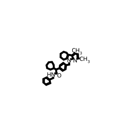 Cc1cc(C)c2c3c(n(Cc4ccc(C(C(=O)NCc5ccccc5)C5CCCCCC5)cc4)c2n1)CCCCC3